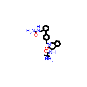 CC(C)(N)C(=O)N[C@@H]1Cc2ccccc2CN(Cc2ccc(-c3ccccc3CNC(N)=O)cc2)C1=O